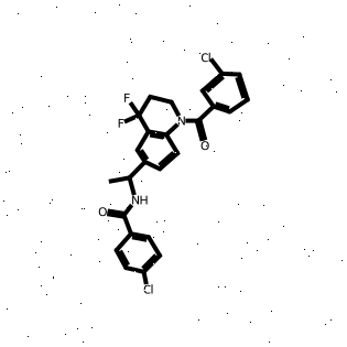 CC(NC(=O)c1ccc(Cl)cc1)c1ccc2c(c1)C(F)(F)CCN2C(=O)c1cccc(Cl)c1